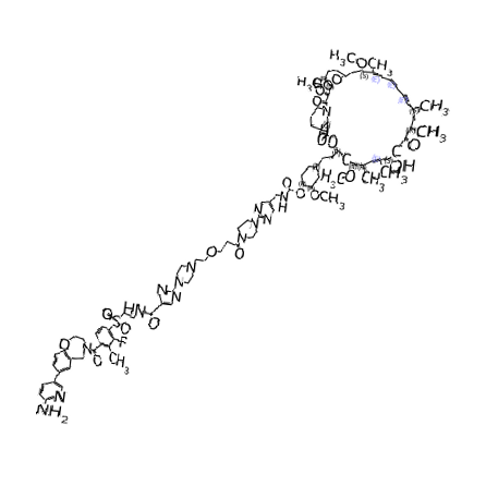 CO[C@H]1CC2CC[C@@H](C)[C@@](O)(O2)C(=O)C(=O)N2CCCC[C@H]2C(=O)O[C@H](CC[C@@H]2CC[C@@H](OC(=O)NCc3cnc(N4CCN(C(=O)CCOCCN5CCN(c6ncc(C(=O)NCCS(=O)(=O)c7ccc(C(=O)N8CCOc9ccc(-c%10ccc(N)nc%10)cc9C8)c(C)c7F)cn6)CC5)CC4)nc3)[C@H](OC)C2)C[C@@H](OC)[C@H](C)/C=C(\C)[C@@H](O)CC(=O)[C@H](C)C[C@H](C)/C=C/C=C/C=C/1C